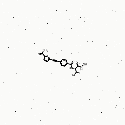 C[C@@H](O)[C@H](NC(=O)c1ccc(C#Cc2ccc(C(N)=O)o2)cc1)C(=O)NO